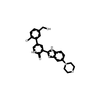 O=c1[nH]cc(-c2cc(CO)ccc2Cl)cc1-c1nc2cc(N3CCOCC3)ccc2[nH]1